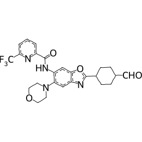 O=CC1CCC(c2nc3cc(N4CCOCC4)c(NC(=O)c4cccc(C(F)(F)F)n4)cc3o2)CC1